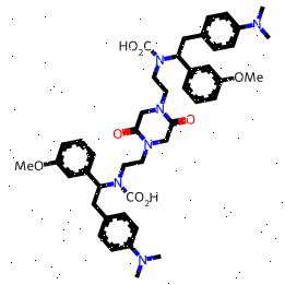 COc1cccc(C(Cc2ccc(N(C)C)cc2)N(CCN2CC(=O)N(CCN(C(=O)O)C(Cc3ccc(N(C)C)cc3)c3cccc(OC)c3)CC2=O)C(=O)O)c1